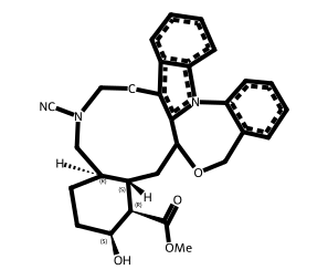 COC(=O)[C@@H]1[C@H]2CC3OCc4ccccc4-n4c3c(c3ccccc34)CCN(C#N)C[C@@H]2CC[C@@H]1O